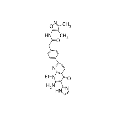 CCn1c(N)c(-c2ncc[nH]2)c(=O)c2ccc(-c3ccc(CC(=O)Nc4onc(C)c4C)cc3)nc21